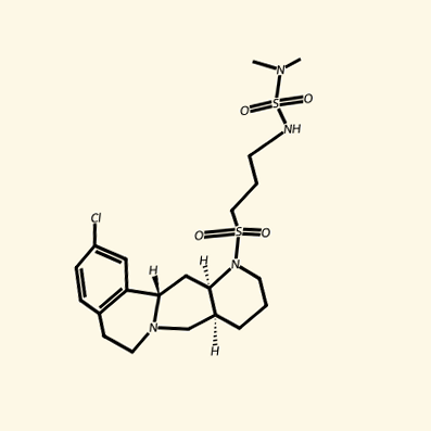 CN(C)S(=O)(=O)NCCCS(=O)(=O)N1CCC[C@H]2CN3CCc4ccc(Cl)cc4[C@@H]3C[C@H]21